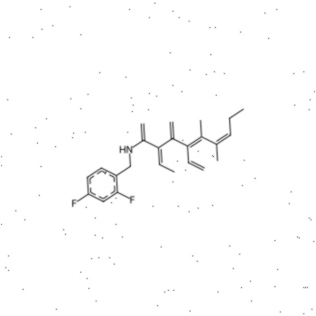 C=C/C(C(=C)/C(=C\C)C(=C)NCc1ccc(F)cc1F)=C(C)\C(C)=C/CC